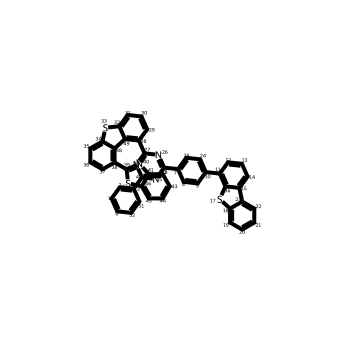 c1ccc(-c2nc(-c3ccc(-c4cccc5c4sc4ccccc45)cc3)nc(-c3cccc4sc5cccc(-c6nc7ccccc7s6)c5c34)n2)cc1